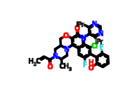 C=CC(=O)N1CC2COc3c(c4cc(F)c(-c5c(O)cccc5F)c(Cl)c4n(-c4c(C(C)C)ncnc4C(C)C)c3=O)N2CC1C